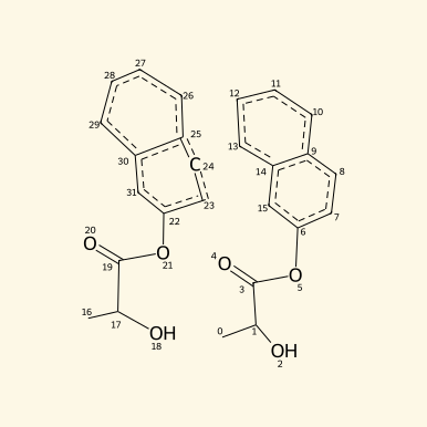 CC(O)C(=O)Oc1ccc2ccccc2c1.CC(O)C(=O)Oc1ccc2ccccc2c1